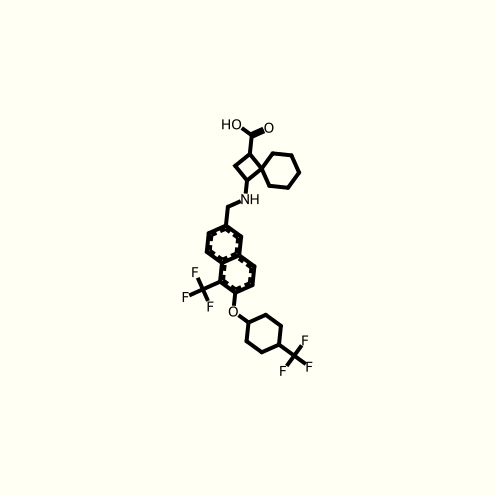 O=C(O)C1CC(NCc2ccc3c(C(F)(F)F)c(OC4CCC(C(F)(F)F)CC4)ccc3c2)C12CCCCC2